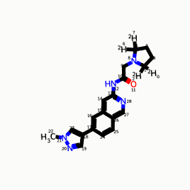 [2H]C1([2H])CCC([2H])([2H])N1CC(=O)Nc1cc2cc(-c3cnn(C)c3)ccc2cn1